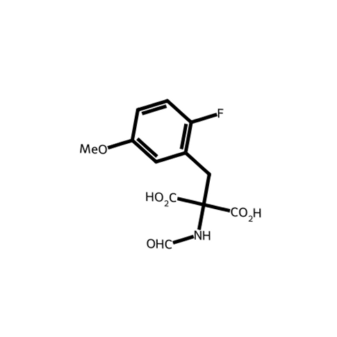 COc1ccc(F)c(CC(NC=O)(C(=O)O)C(=O)O)c1